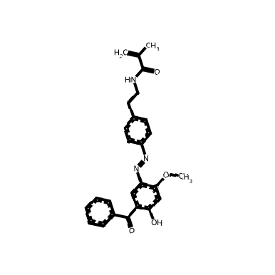 C=C(C)C(=O)NCCc1ccc(/N=N/c2cc(C(=O)c3ccccc3)c(O)cc2OC)cc1